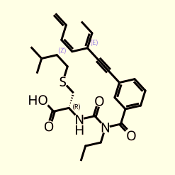 C=C/C=C\C(C#Cc1cccc(C(=O)N(CCC)C(=O)N[C@@H](CSCCC(C)C)C(=O)O)c1)=C/C